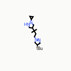 CC(C)(C)C1CN=[N+](CCC(C)(C)C2CNN(C3CC3)C2)C1